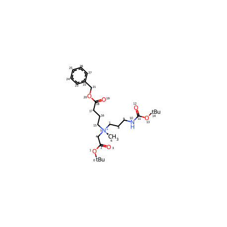 CC(C)(C)OC(=O)C[N@@+](C)(CCCNC(=O)OC(C)(C)C)CCCC(=O)OCc1ccccc1